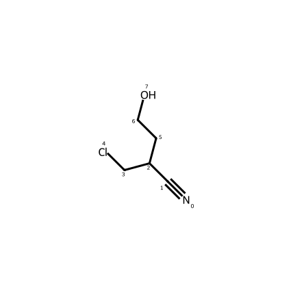 N#CC(CCl)CCO